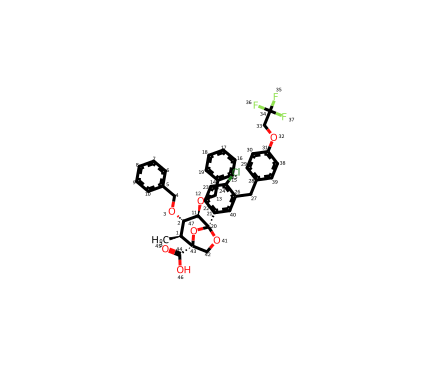 C[C@H]1[C@H](OCc2ccccc2)[C@@H](OCc2ccccc2)[C@@]2(c3ccc(Cl)c(Cc4ccc(OCC(F)(F)F)cc4)c3)OC[C@]1(C(=O)O)O2